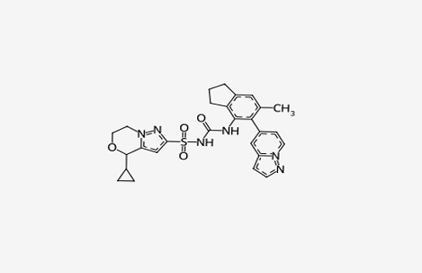 Cc1cc2c(c(NC(=O)NS(=O)(=O)c3cc4n(n3)CCOC4C3CC3)c1-c1ccn3nccc3c1)CCC2